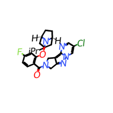 CC(C)CN1[C@@H]2CC[C@H]1C[C@@H](Oc1cc(F)ccc1C(=O)N1Cc3nn4cc(Cl)cnc4c3C1)C2